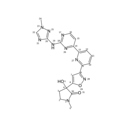 CN1CCC(O)(c2cc(-c3cccc(-c4ccnc(Nc5ncn(C)n5)n4)n3)no2)C1=O